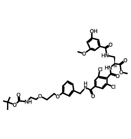 COC(=O)[C@H](CNC(=O)c1cc(O)cc(OC)c1)NC(=O)c1c(Cl)cc(C(=O)NCc2cccc(OCCOCCNC(=O)OC(C)(C)C)c2)cc1Cl